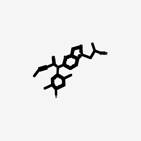 CC#CC(=O)N(c1ccc2c(cnn2CC(C)OC)n1)c1cc(C)c(I)cc1C